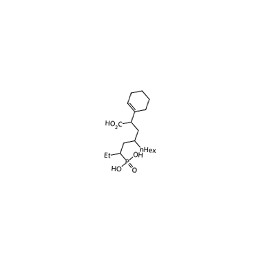 CCCCCCC(CC(C(=O)O)C1=CCCCC1)CC(CC)P(=O)(O)O